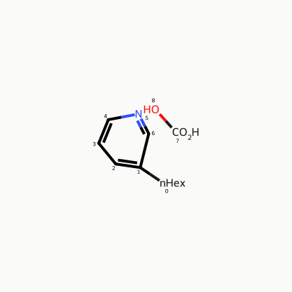 CCCCCCc1cccnc1.O=C(O)O